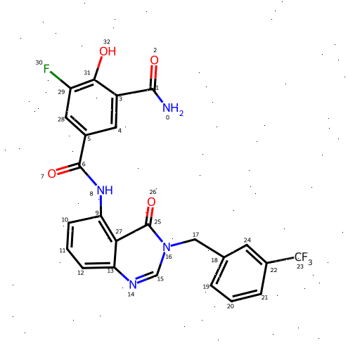 NC(=O)c1cc(C(=O)Nc2cccc3ncn(Cc4cccc(C(F)(F)F)c4)c(=O)c23)cc(F)c1O